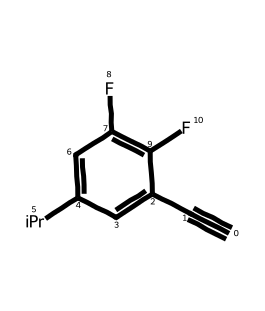 C#Cc1cc(C(C)C)cc(F)c1F